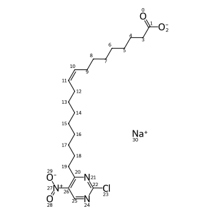 O=C([O-])CCCCCCC/C=C\CCCCCCCCc1nc(Cl)ncc1[N+](=O)[O-].[Na+]